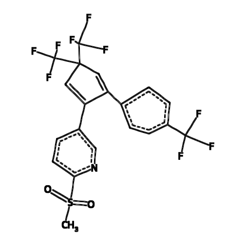 CS(=O)(=O)c1ccc(C2=CC(C(F)(F)F)(C(F)(F)F)C=C2c2ccc(C(F)(F)F)cc2)cn1